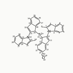 Cc1cc2ccccc2n1C1=Cc2ccccc2[CH]1[Ti+2][CH]1C(n2c(C)cc3ccccc32)=Cc2ccccc21.[Cl-].[Cl-]